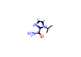 CC(C)n1ccnc1C(N)=O